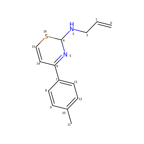 C=CCNC1N=C(c2ccc(C)cc2)C=CS1